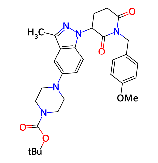 COc1ccc(CN2C(=O)CCC(n3nc(C)c4cc(N5CCN(C(=O)OC(C)(C)C)CC5)ccc43)C2=O)cc1